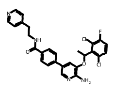 CC(Oc1cc(-c2ccc(C(=O)NCCc3ccncc3)cc2)cnc1N)c1c(Cl)ccc(F)c1Cl